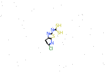 SC(S)=Nc1nc2ccc(Cl)nc2s1